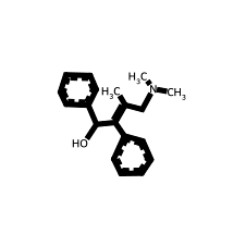 CC(CN(C)C)=C(c1ccccc1)C(O)c1ccccc1